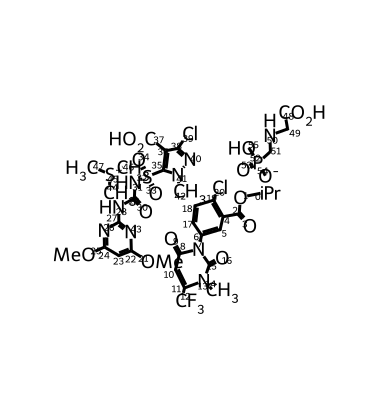 CC(C)OC(=O)c1cc(-n2c(=O)cc(C(F)(F)F)n(C)c2=O)ccc1Cl.COc1cc(OC)nc(NC(=O)NS(=O)(=O)c2c(C(=O)O)c(Cl)nn2C)n1.C[S+](C)C.O=C(O)CNCP(=O)([O-])O